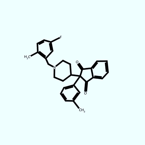 Cc1cccc(C2(C3CCN(Cc4cc(F)ccc4C)CC3)C(=O)c3ccccc3C2=O)c1